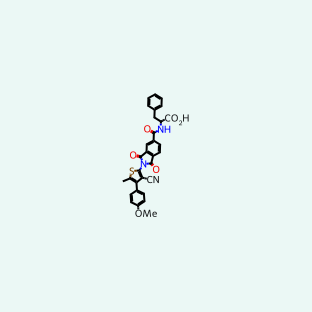 COc1ccc(-c2c(C)sc(N3C(=O)c4ccc(C(=O)NC(Cc5ccccc5)C(=O)O)cc4C3=O)c2C#N)cc1